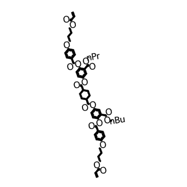 C=CC(=O)OCCCCOc1ccc(C(=O)Oc2ccc(OC(=O)C3CCC(C(=O)Oc4ccc(OC(=O)c5ccc(OCCCCOC(=O)C=C)cc5)c(C(=O)OCCCC)c4)CC3)cc2C(=O)OCCC)cc1